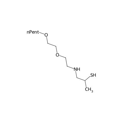 CCCCCOCCOCCNCC(C)S